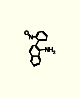 Nc1c(-c2ccccc2N=O)ccc2ccccc12